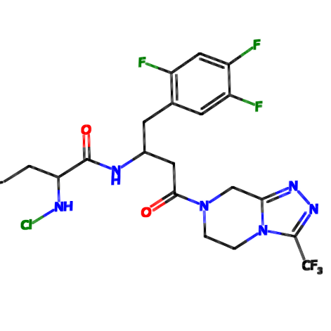 CC(C)CC(NCl)C(=O)NC(CC(=O)N1CCn2c(nnc2C(F)(F)F)C1)Cc1cc(F)c(F)cc1F